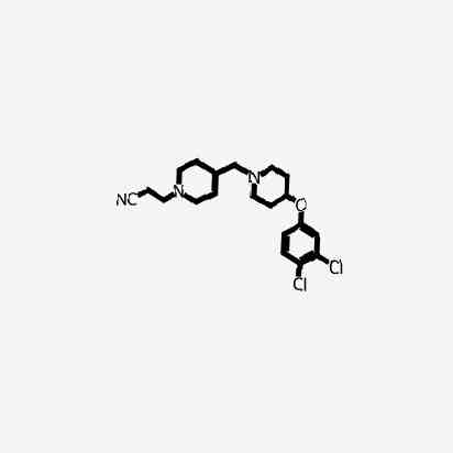 N#CCCN1CCC(CN2CCC(Oc3ccc(Cl)c(Cl)c3)CC2)CC1